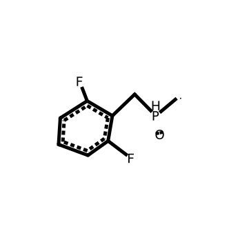 [CH2][PH](=O)Cc1c(F)cccc1F